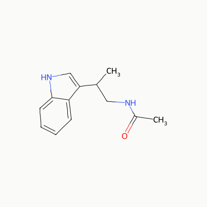 CC(=O)NCC(C)c1c[nH]c2ccccc12